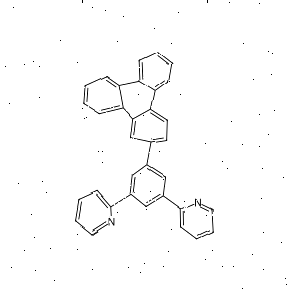 c1ccc(-c2cc(-c3ccc4c5ccccc5c5ccccc5c4c3)cc(-c3ccccn3)c2)nc1